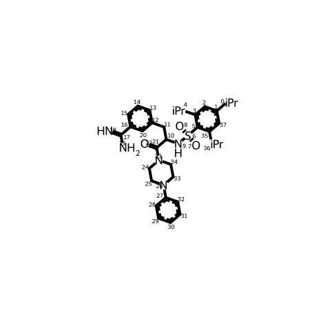 CC(C)c1cc(C(C)C)c(S(=O)(=O)NC(Cc2cccc(C(=N)N)c2)C(=O)N2CCN(c3ccccc3)CC2)c(C(C)C)c1